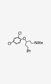 CNCCC(CCC(C)C)Oc1ccc(Cl)cc1Cl